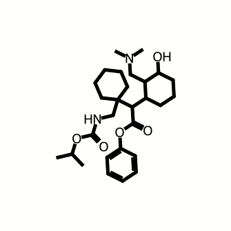 CC(C)OC(=O)NCC1(C(C(=O)Oc2ccccc2)C2CCCC(O)C2CN(C)C)CCCCC1